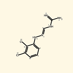 N=C(N)NC=NNc1cccc(Cl)c1Cl